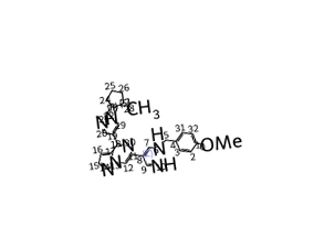 COc1ccc(CN/C=C(\C=N)c2cn3nccc3c(-c3cnn([C@@H]4CCC[C@@H]4C)c3)n2)cc1